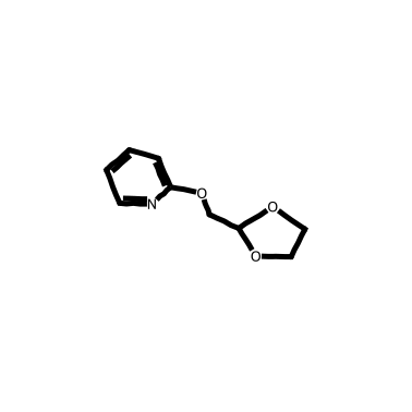 c1ccc(OCC2OCCO2)nc1